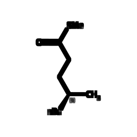 CCCC[C@H](C)CCC(=O)SC